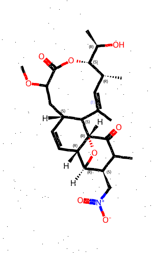 COC1C[C@H]2C=C[C@H]3[C@H]4O[C@]2(/C(C)=C/[C@@H](C)[C@@H]([C@@H](C)O)OC1=O)[C@@H]3C(=O)C(C)[C@H]4C[N+](=O)[O-]